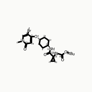 Cn1cc(Br)c(O[C@H]2CC[C@H](NC(=O)C3(NC(=O)OC(C)(C)C)CC3)CC2)cc1=O